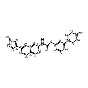 C=C(Cc1ccnc(N2CCN(C)CC2)c1)Nc1cc2cc(-c3cnn(C)c3)ccc2cn1